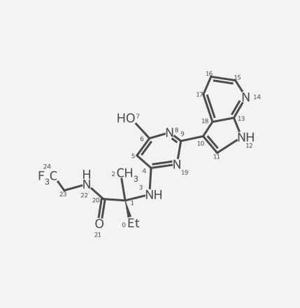 CC[C@@](C)(Nc1cc(O)nc(-c2c[nH]c3ncccc23)n1)C(=O)NCC(F)(F)F